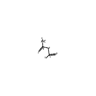 C=C(C)CC(=C)C(C)=O